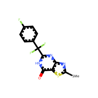 CSc1nc2nc(C(F)(F)c3ccc(F)cc3)[nH]c(=O)c2s1